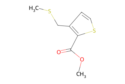 COC(=O)c1sccc1CSC